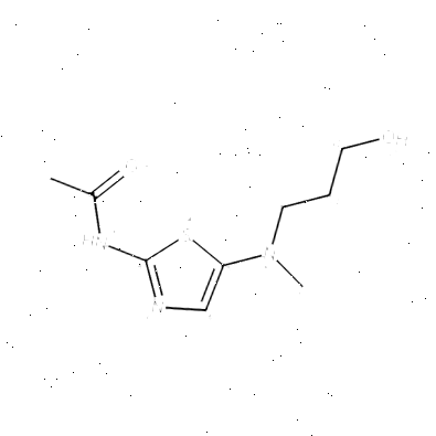 CC(=O)Nc1ncc(N(C)CCCO)s1